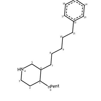 [CH2]CCCCC1CCNCC1CCCCCc1ccccc1